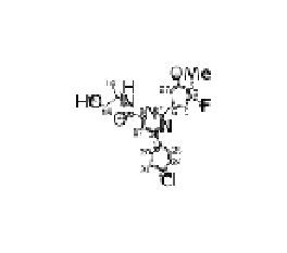 COc1cc(F)cc(-c2nc(C(=O)NC(C)CO)cc(-c3ccc(Cl)cc3)n2)c1